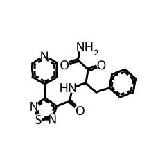 NC(=O)C(=O)C(Cc1ccccc1)NC(=O)c1nsnc1-c1ccncc1